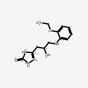 CCOc1ccccc1NCC(O)Cc1n[nH]c(=O)[nH]1